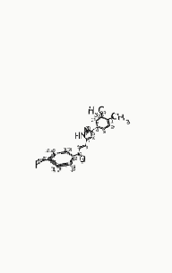 Cc1ccc(-c2cc(/C=C/C(=O)c3ccc(F)cc3)[nH]n2)cc1C